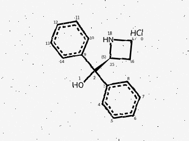 Cl.OC(c1ccccc1)(c1ccccc1)[C@@H]1CCN1